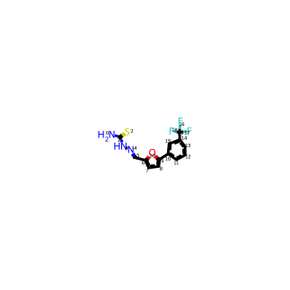 NC(=S)NN=Cc1ccc(-c2cccc(C(F)(F)F)c2)o1